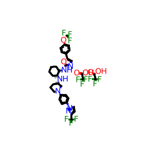 FC(F)(F)Oc1ccc(-c2cnc(N[C@@H]3CCCC[C@H]3N[C@H]3CCCN(c4ccc(-n5ccc(C(F)(F)F)n5)cc4)C3)o2)cc1.O=C(O)C(F)(F)F.O=C(O)C(F)(F)F